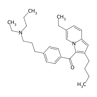 CCCCc1cc2ccc(CC)cn2c1C(=O)c1ccc(CCCN(CC)CCC)cc1